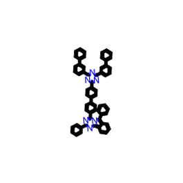 c1ccc(-c2cccc(-c3nc(-c4ccc(-c5ccc(-c6nc(-c7ccccc7)nc7c8ccccc8c(-c8ccccc8)n67)cc5)cc4)nc(-c4cccc(-c5ccccc5)c4)n3)c2)cc1